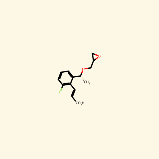 C[C@@H](OCC1CO1)c1cccc(F)c1C=CC(=O)O